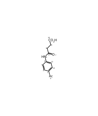 CC(=O)c1ccc(NC(=O)CCC(=O)O)cc1